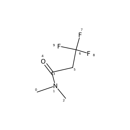 CN(C)C(=O)CC(F)(F)F